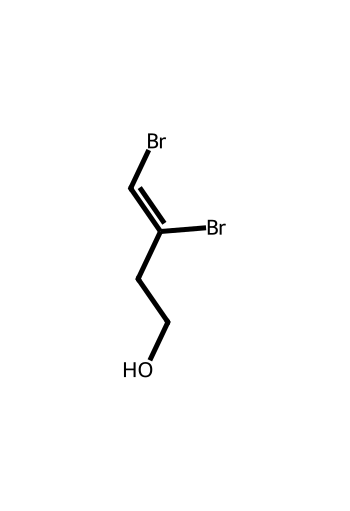 OCCC(Br)=CBr